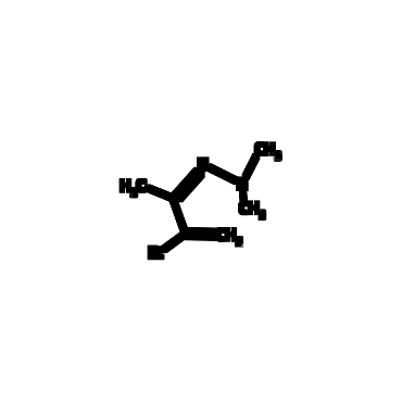 C=C(CC)/C(C)=N\N(C)C